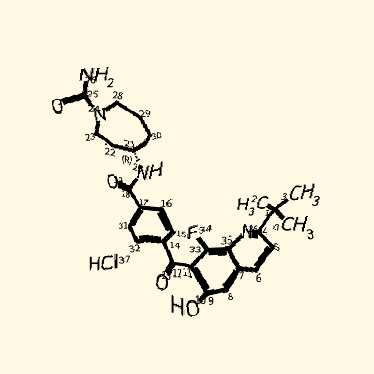 CC(C)(C)c1ccc2cc(O)c(C(=O)c3ccc(C(=O)N[C@@H]4[CH]CN(C(N)=O)CCC4)cc3)c(F)c2n1.Cl